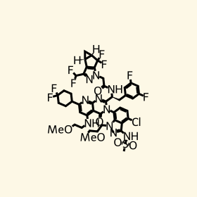 COCCCn1nc(NS(C)(=O)=O)c2c(Cl)ccc(-n3c([C@H](Cc4cc(F)cc(F)c4)NC(=O)Cn4nc(C(F)F)c5c4C(F)(F)[C@@H]4C[C@H]54)nc4nc(C5CCC(F)(F)CC5)cc(NCCOC)c4c3=O)c21